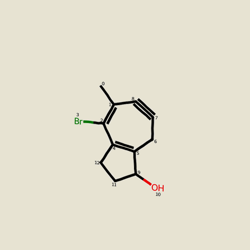 CC1=C(Br)C2=C(CC#C1)C(O)CC2